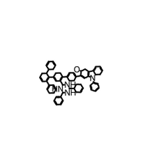 C1=CCC(C2CC=CC(C3=CCCC=C3)=C2C2=CC(C3NC(c4ccccc4)NC(C4CC=CCC4)N3)=C(C3=CC4=C(CC3)C3=CC5=C(CC3O4)C3=CC=CCC3N5c3ccccc3)CC2)C=C1